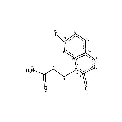 NC(=O)CCn1c(=O)ccc2ccc(F)cc21